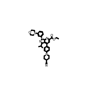 CCOC(=O)c1cc(-c2ccc(N3CCC(C#N)CC3)cc2)c2c(C(C)C)nn(-c3cccc(N4CCOCC4)c3)c2n1